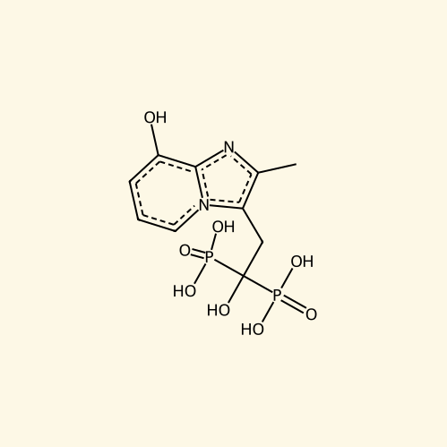 Cc1nc2c(O)cccn2c1CC(O)(P(=O)(O)O)P(=O)(O)O